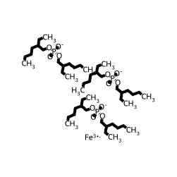 CCCCC(CC)COP(=O)([O-])OCC(CC)CCCC.CCCCC(CC)COP(=O)([O-])OCC(CC)CCCC.CCCCC(CC)COP(=O)([O-])OCC(CC)CCCC.[Fe+3]